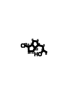 CC(O)CC1CCC2C(Cl)CCC12